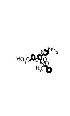 CC1C(c2ccccc2)OC(=O)N1Cc1cc(-c2ccc(N)cn2)ccc1Oc1cccc(CC(=O)O)c1